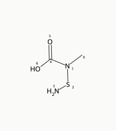 CN(SN)C(=O)O